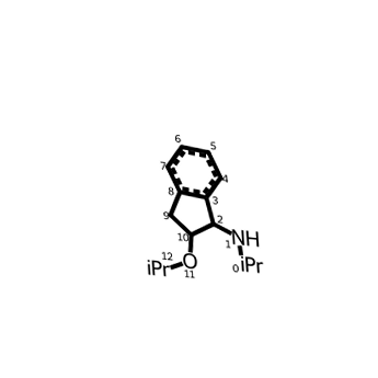 CC(C)NC1c2ccccc2CC1OC(C)C